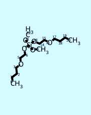 CCCCOCCO[Si](OC)(OC)OCCOCCCC